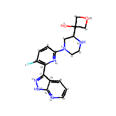 OC1(C2CN(c3ccc(F)c(-c4n[nH]c5ncccc45)n3)CCN2)COC1